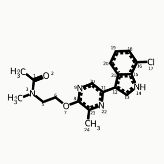 CC(=O)N(C)CCOc1ncc(-c2c[nH]c3c(Cl)cccc23)nc1C